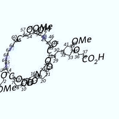 COCCOC1CC2CCC(C)C(O)(O2)C(=O)C(=O)N2CCCCC2C(=O)OC(C(C)CC2CCC(OCCC(=O)O)C(OC)C2)CC(=O)C(C)/C=C(\C)C(O)C(OC)C(=O)C(C)CC(C)/C=C/C=C/C=C/1C